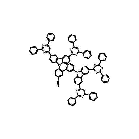 N#Cc1ccc(-n2c3ccc(-c4nc(-c5ccccc5)nc(-c5ccccc5)n4)cc3c3cc(-c4nc(-c5ccccc5)nc(-c5ccccc5)n4)ccc32)c(-c2cc(-n3c4ccc(-c5nc(-c6ccccc6)nc(-c6ccccc6)n5)cc4c4cc(-c5nc(-c6ccccc6)nc(-c6ccccc6)n5)ccc43)ccn2)c1